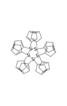 C1=CCC([Si]2(C3=CC=CC3)[Si](C3=CC=CC3)(C3=CC=CC3)[Si](C3=CC=CC3)(C3=CC=CC3)[Si](C3=CC=CC3)(C3=CC=CC3)[Si]2(C2=CC=CC2)C2=CC=CC2)=C1